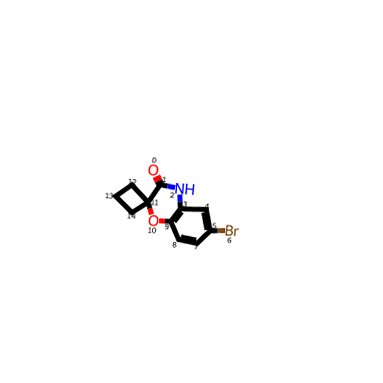 O=C1Nc2cc(Br)ccc2OC12CCC2